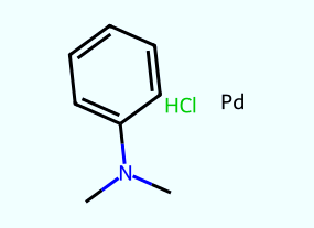 CN(C)c1ccccc1.Cl.[Pd]